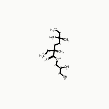 CCC(C)(C)CCC(C)(CC)C(=O)OCC(O)CO